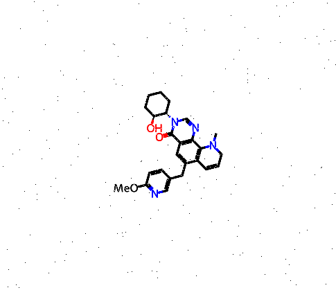 COc1ccc(Cc2cc3c(=O)n([C@H]4CCCC[C@@H]4O)cnc3c3c2C=CCN3C)cn1